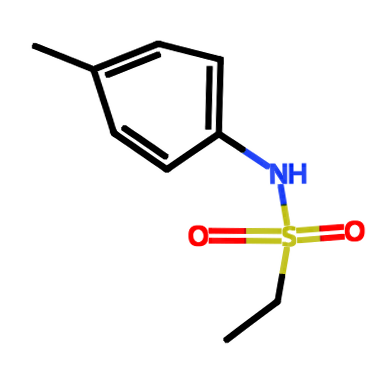 CCS(=O)(=O)Nc1ccc(C)cc1